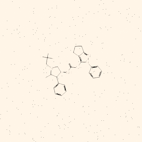 CC1C(c2ccccc2)[C@H](NC(=O)Nc2c3c(nn2-c2ccccc2)CCC3)CN1CC(F)(F)F